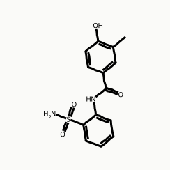 Cc1cc(C(=O)Nc2ccccc2S(N)(=O)=O)ccc1O